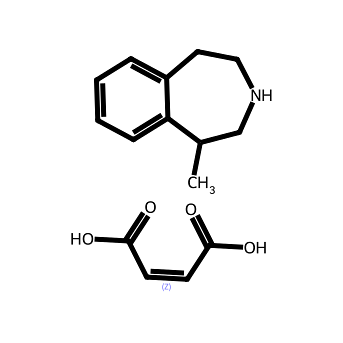 CC1CNCCc2ccccc21.O=C(O)/C=C\C(=O)O